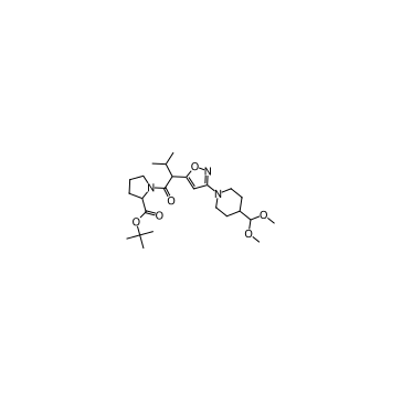 COC(OC)C1CCN(c2cc(C(C(=O)N3CCCC3C(=O)OC(C)(C)C)C(C)C)on2)CC1